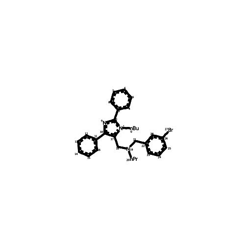 CCCCn1c(-c2ccccc2)nc(-c2ccccc2)c1CN(CCC)Cc1cccc(Br)c1